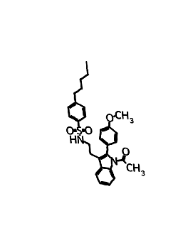 COc1ccc(-c2c(CCNS(=O)(=O)c3ccc(CCCCI)cc3)c3ccccc3n2C(C)=O)cc1